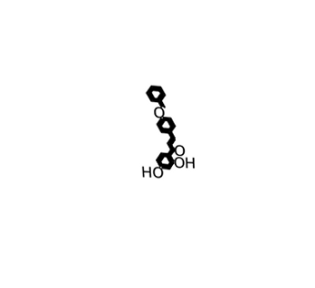 O=C(C=Cc1ccc(OCc2ccccc2)cc1)c1ccc(O)cc1O